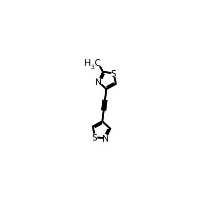 Cc1nc(C#Cc2cnsc2)cs1